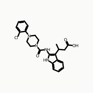 CC(CC(=O)O)c1c(NC(=O)N2CCN(c3ccccc3Cl)CC2)[nH]c2ccccc12